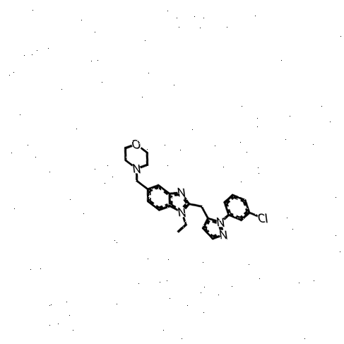 CCn1c(Cc2ccnn2-c2cccc(Cl)c2)nc2cc(CN3CCOCC3)ccc21